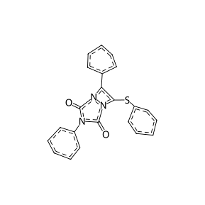 O=c1n(-c2ccccc2)c(=O)n2c(-c3ccccc3)c(Sc3ccccc3)n12